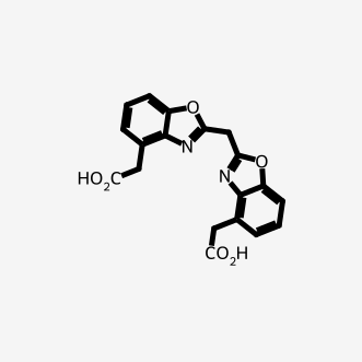 O=C(O)Cc1cccc2oc(Cc3nc4c(CC(=O)O)cccc4o3)nc12